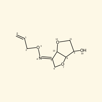 C=CCON=C1COC2C(O)COC12